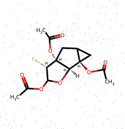 CC(=O)OC1O[C@H]2[C@](OC(C)=O)(CC3C[C@@]32OC(C)=O)[C@H]1F